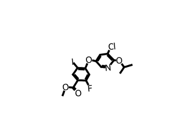 COC(=O)c1cc(I)c(Oc2cnc(OC(C)C)c(Cl)c2)cc1F